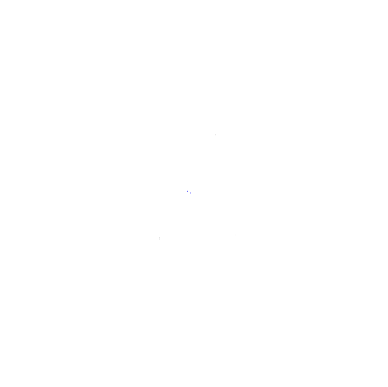 CCc1ccc(CO)c(OC)n1